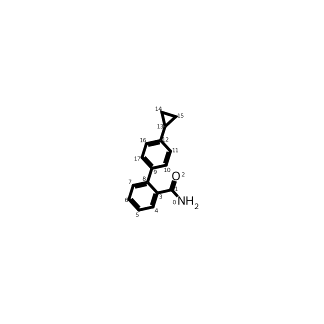 NC(=O)c1ccccc1-c1ccc(C2CC2)cc1